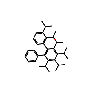 CC(C)c1cccc(-c2c(-c3ccccc3)c(C(C)C)c(C(C)C)c(C(C)C)c2C(C)C)c1C(C)C